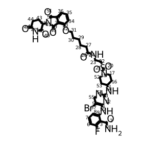 NC(=O)c1c(F)cccc1Nc1nc(NC2CCN(S(=O)(=O)CCNC(=O)CCCCCOc3cccc4c3C(=O)N(C3CCC(=O)NC3=O)C4=O)CC2)ncc1Br